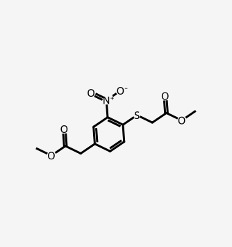 COC(=O)CSc1ccc(CC(=O)OC)cc1[N+](=O)[O-]